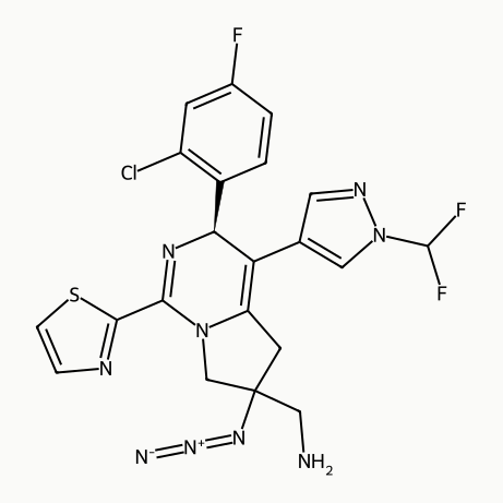 [N-]=[N+]=NC1(CN)CC2=C(c3cnn(C(F)F)c3)[C@H](c3ccc(F)cc3Cl)N=C(c3nccs3)N2C1